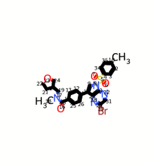 Cc1ccc(S(=O)(=O)n2cc(-c3ccc(C(=O)N(C)CC4CCOC4)cc3)c3nc(Br)cnc32)cc1